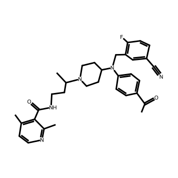 CC(=O)c1ccc(N(Cc2cc(C#N)ccc2F)C2CCN(C(C)CCNC(=O)c3c(C)ccnc3C)CC2)cc1